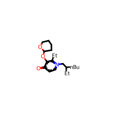 CCCCC(CC)Cn1ccc(=O)c(OC2CCCCO2)c1CC